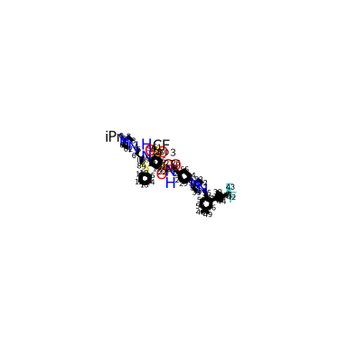 CC(C)N1CCN(CC[C@H](CSc2ccccc2)Nc2ccc(S(=O)(=O)NC(=O)c3ccc(N4CCN(CC5=C(C67CC(C(F)F)(C6)C7)CC(C)(C)CC5)CC4)cc3)cc2S(=O)(=O)C(F)(F)F)CC1